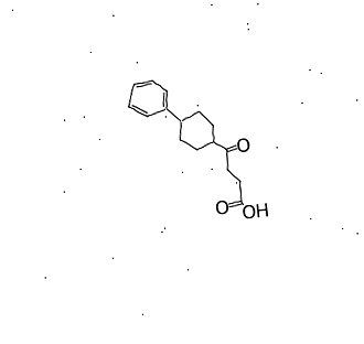 O=C(O)CCC(=O)C1CCC(c2ccccc2)CC1